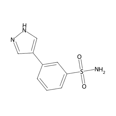 NS(=O)(=O)c1cccc(-c2cn[nH]c2)c1